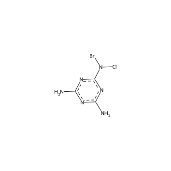 Nc1nc(N)nc(N(Cl)Br)n1